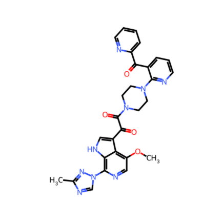 COc1cnc(-n2cnc(C)n2)c2[nH]cc(C(=O)C(=O)N3CCN(c4ncccc4C(=O)c4ccccn4)CC3)c12